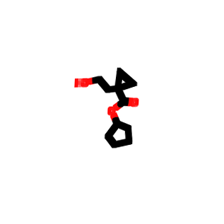 O=C(OC1CCCC1)C1(CCO)CC1